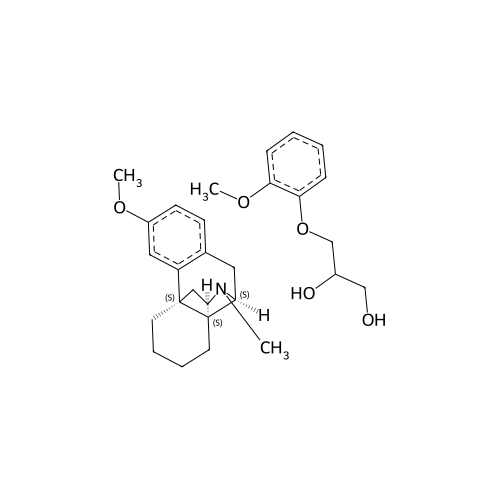 COc1ccc2c(c1)[C@]13CCCC[C@@H]1[C@H](C2)N(C)CC3.COc1ccccc1OCC(O)CO